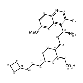 COc1ccc2ncc(F)c([C@@H](N)CC[C@@H]3CCN(CCSC4CCC4)C[C@@H]3CC(=O)O)c2c1